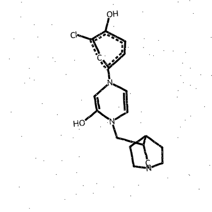 OC1=CN(c2ccc(O)c(Cl)c2)C=CN1CC1CN2CCC1CC2